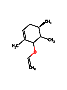 C=COC1C(C)=CC[C@@H](C)C1C